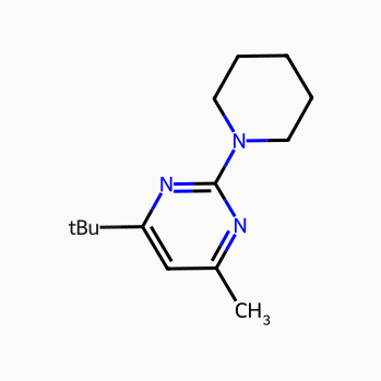 Cc1cc(C(C)(C)C)nc(N2CCCCC2)n1